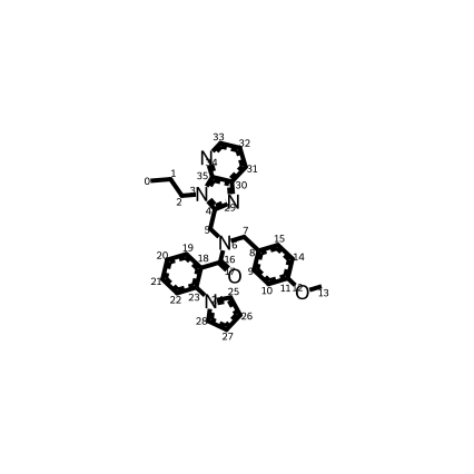 CCCn1c(CN(Cc2ccc(OC)cc2)C(=O)c2ccccc2-n2cccc2)nc2cccnc21